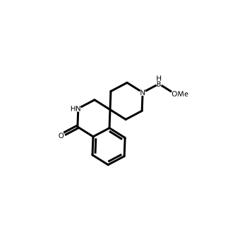 COBN1CCC2(CC1)CNC(=O)c1ccccc12